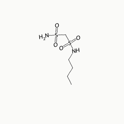 CCCCNS(=O)(=O)CS(N)(=O)=O